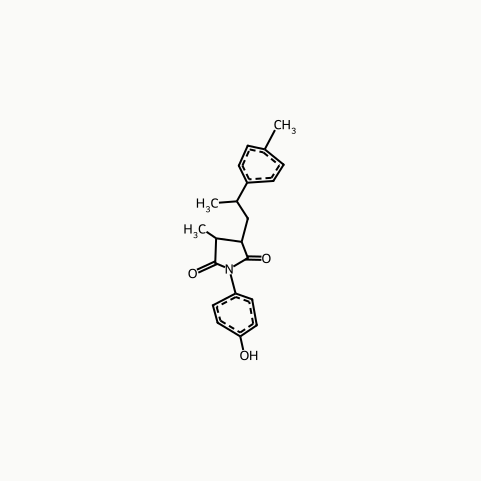 Cc1ccc(C(C)CC2C(=O)N(c3ccc(O)cc3)C(=O)C2C)cc1